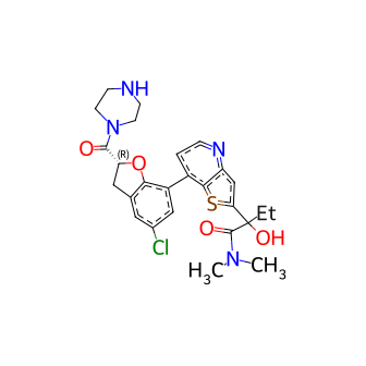 CCC(O)(C(=O)N(C)C)c1cc2nccc(-c3cc(Cl)cc4c3O[C@@H](C(=O)N3CCNCC3)C4)c2s1